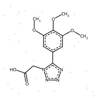 COc1cc(-c2nnnn2CC(=O)O)cc(OC)c1OC